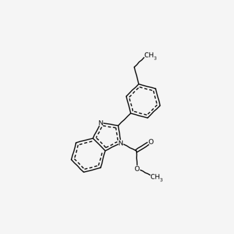 CCc1cccc(-c2nc3ccccc3n2C(=O)OC)c1